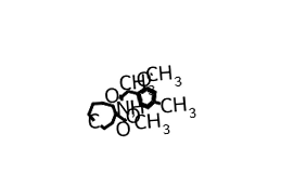 COC(=O)C1(NC(=O)C(C)c2ccc(C)cc2OC)CCCCCCC1